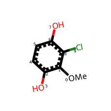 COc1c(O)ccc(O)c1Cl